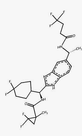 C[C@@H](NC(=O)CCC(F)(F)F)c1ccc2[nH]c([C@@H](NC(=O)C3(C)CC3(F)F)C3CCC(F)(F)CC3)nc2c1